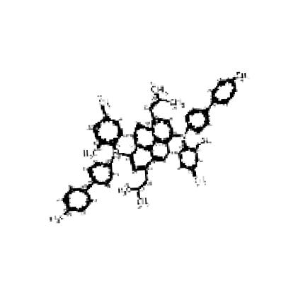 Cc1ccc(-c2ccc(N(c3ccc(C)cc3C)c3cc(CC(C)C)c4ccc5c6c4c3CC=C6C(CC(C)C)=CC5N(c3ccc(-c4ccc(C)cc4)cc3)c3ccc(C)cc3C)cc2)cc1